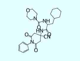 N#CC1(NC(=O)C(CC2CCCCC2)NC(=O)N2CCOCC2)CC(=O)N(c2ccccc2)C(=O)C1